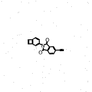 C#Cc1ccc2c(c1)C(=O)N(c1ccc3c(c1)C=C3)C2=O